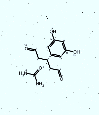 NC(N)=O.O=CCCCC=O.Oc1cccc(O)c1